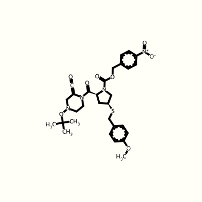 COc1ccc(CS[C@H]2C[C@@H](C(=O)N3CCN(OC(C)(C)C)CC3=C=O)N(C(=O)OCc3ccc([N+](=O)[O-])cc3)C2)cc1